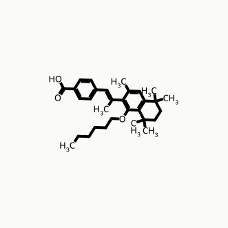 CCCCCCOc1c(C(C)=Cc2ccc(C(=O)O)cc2)c(C)cc2c1C(C)(C)CCC2(C)C